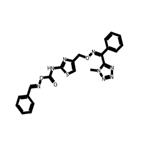 Cn1nnnc1/C(=N\OCc1csc(NC(=O)O/N=C/c2ccccc2)n1)c1ccccc1